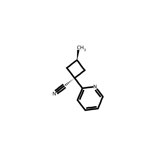 C[C@H]1C[C@@](C#N)(c2ccccn2)C1